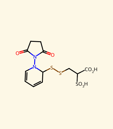 O=C(O)C(CSSC1C=CC=CN1N1C(=O)CCC1=O)S(=O)(=O)O